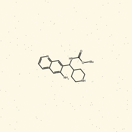 CC(C)(C)OC(=O)NC(c1cc2ncccc2cc1N)C1CCNCC1